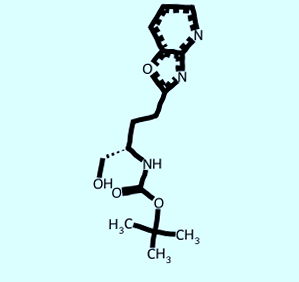 CC(C)(C)OC(=O)N[C@H](CO)CCc1nc2ncccc2o1